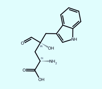 N[C@@H](C[C@@](O)(C=O)Cc1c[nH]c2ccccc12)C(=O)O